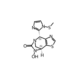 CSn1ccnc1[C@@H]1c2ncsc2[C@@H]2CN1C(=O)N2O